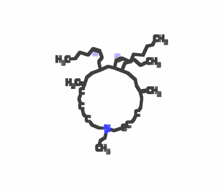 C=C1CCCCCCCN(CCC)CCCCCCCC(=C)CCC(CC/C=C\CCCC)CC(/C=C\CCCC)C(CCCCCCC)CCC1